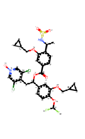 CC(N[SH](=O)=O)c1ccc(C(=O)OC(Cc2c(Cl)c[n+]([O-])cc2Cl)c2ccc(OC(F)F)c(OCC3CC3)c2)cc1OCC1CC1